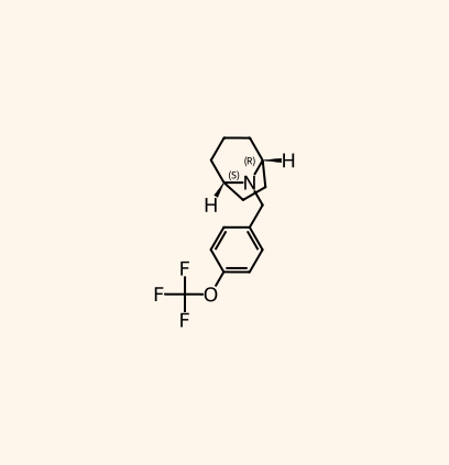 FC(F)(F)Oc1ccc(CN2[C@@H]3CCC[C@H]2CC3)cc1